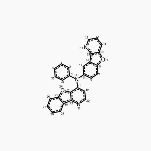 c1ccc(N(c2ccc3oc4cccnc4c3c2)c2ccnc3c2oc2ccccc23)cc1